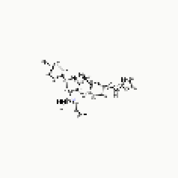 CN/C(=C\C=N)c1cc(-c2ccc(F)cc2)ncc1Oc1ccc(SNc2nccs2)cc1C#N